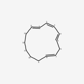 [C]1=C/C=C\C=C\C/C=C/CCCCC/1